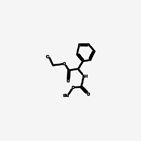 CC(C)(C)OC(=O)NC(C(=O)OCCl)c1ccccc1